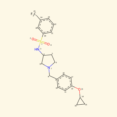 O=S(=O)(NC1CCN(Cc2ccc(OC3CC3)cc2)C1)c1cccc(C(F)(F)F)c1